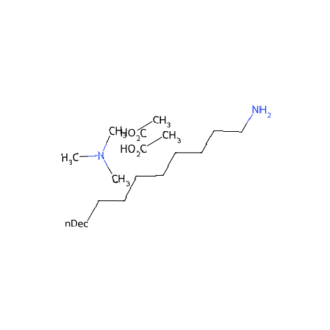 CC(=O)O.CC(=O)O.CCCCCCCCCCCCCCCCCCN.CN(C)C